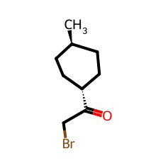 C[C@H]1CC[C@H](C(=O)CBr)CC1